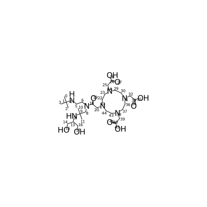 CC(C)(C)NCCN(CC(C)(C)NC(CO)CO)C(=O)CN1CCN(CC(=O)O)CCN(CC(=O)O)CCN(CC(=O)O)CC1